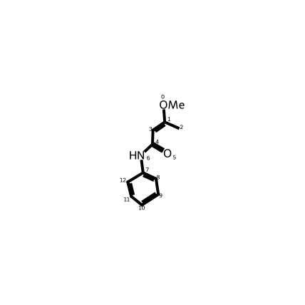 COC(C)=CC(=O)Nc1ccccc1